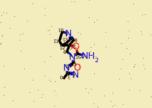 Cc1noc(N2CC3(CN4CCC3CC4)OC2N)n1